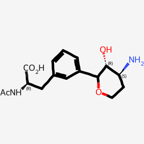 CC(=O)N[C@H](Cc1cccc(C2OCC[C@H](N)[C@H]2O)c1)C(=O)O